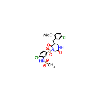 COc1ccc(Cl)cc1CC1CNC(=O)CN(S(=O)(=O)c2ccc(Cl)c(NS(C)(=O)=O)c2)C1=O